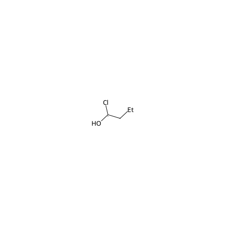 [CH2]CC[C](O)Cl